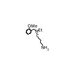 CCN(CCCCCCN)Cc1ccccc1OC